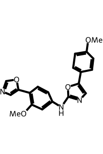 COc1ccc(-c2cnc(Nc3ccc(-c4cnco4)c(OC)c3)o2)cc1